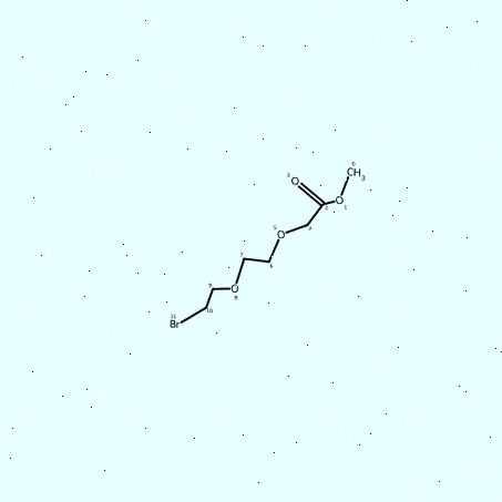 COC(=O)COCCOCCBr